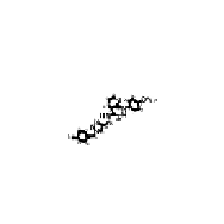 COc1ccc(Nc2ncccc2C(=O)NCc2cn(Cc3ccc(F)cc3)nn2)cc1